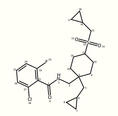 O=C(NCC1(CC2CC2)CCC(S(=O)(=O)CC2CC2)CC1)c1c(F)cccc1Cl